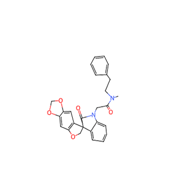 CN(CCc1ccccc1)C(=O)CN1C(=O)C2(COc3cc4c(cc32)OCO4)c2ccccc21